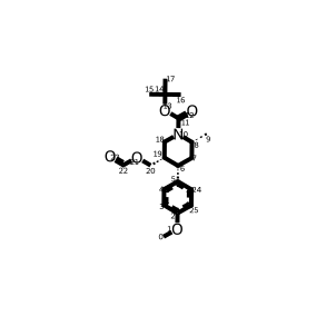 COc1ccc([C@H]2C[C@@H](C)N(C(=O)OC(C)(C)C)C[C@H]2COC=O)cc1